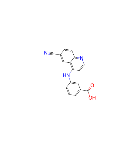 N#Cc1ccc2nccc(Nc3cccc(C(=O)O)c3)c2c1